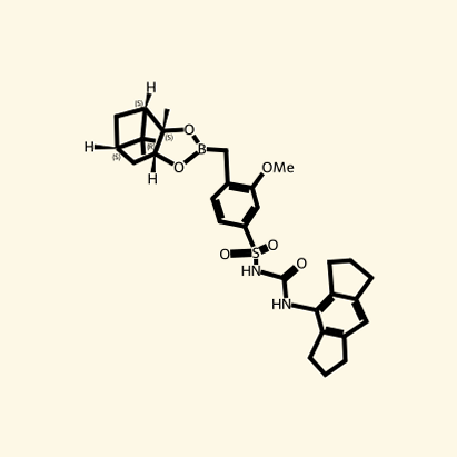 COc1cc(S(=O)(=O)NC(=O)Nc2c3c(cc4c2CCC4)CCC3)ccc1CB1O[C@@H]2C[C@@H]3C[C@@H](C3(C)C)[C@]2(C)O1